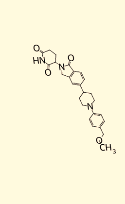 COCc1ccc(N2CCC(c3ccc4c(c3)CN(C3CCC(=O)NC3=O)C4=O)CC2)cc1